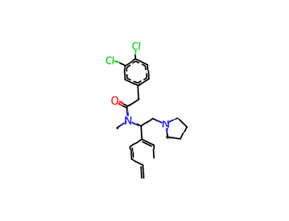 C=C/C=C\C(=C/C)C(CN1CCCC1)N(C)C(=O)Cc1ccc(Cl)c(Cl)c1